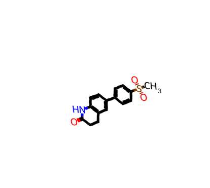 CS(=O)(=O)c1ccc(-c2ccc3c(c2)CCC(=O)N3)cc1